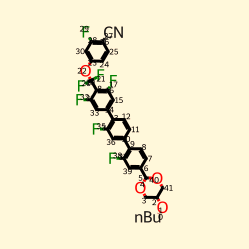 CCCCOC1COC(c2ccc(-c3ccc(-c4cc(F)c(C(F)(F)Oc5ccc(C#N)c(F)c5)c(F)c4)c(F)c3)c(F)c2)OC1